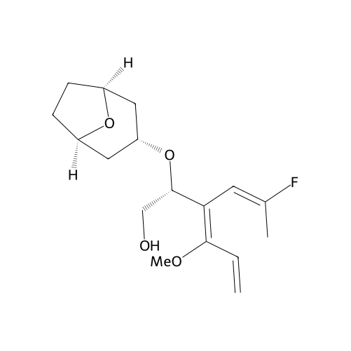 C=C/C(OC)=C(\C=C(/C)F)[C@H](CO)O[C@@H]1C[C@H]2CC[C@@H](C1)O2